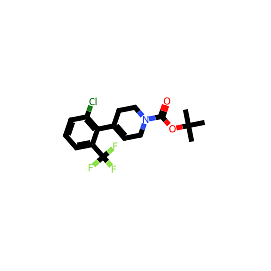 CC(C)(C)OC(=O)N1CC=C(c2c(Cl)cccc2C(F)(F)F)CC1